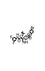 CC1(CO/C(C(=O)Nc2cc(F)cc(F)c2)=C(/C=N)N2CCN(S(=O)(=O)Cc3ccc(Br)cc3)CC2)CC1